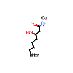 CCCCCCCCCCCCCC(O)CC(=O)NC(C)(C)C